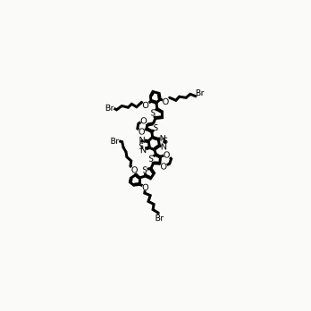 BrCCCCCCOc1cccc(OCCCCCCBr)c1-c1ccc(-c2sc(-c3c4c(c(-c5sc(-c6ccc(-c7c(OCCCCCCBr)cccc7OCCCCCCBr)s6)c6c5OCCO6)c5nsnc35)N=S=N4)c3c2OCCO3)s1